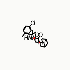 Cc1ccc(Cl)cc1NC(=O)CN1CC2CC(C1)N2CC(=O)NC(C)(C)C